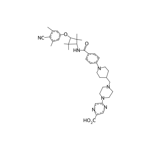 Cc1cc(OC2C(C)(C)C(NC(=O)c3ccc(N4CCC(CN5CCN(c6cnc(C(=O)O)cn6)CC5)CC4)cc3)C2(C)C)cc(C)c1C#N